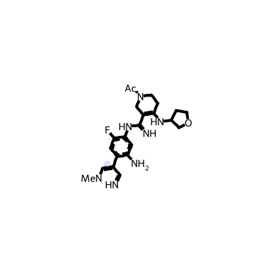 CN/C=C(\C=N)c1cc(F)c(NC(=N)C2=C(NC3CCOC3)CCN(C(C)=O)C2)cc1N